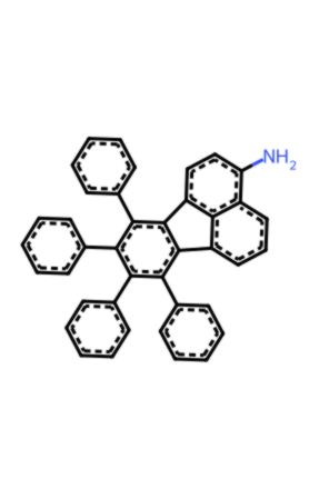 Nc1ccc2c3c(cccc13)-c1c(-c3ccccc3)c(-c3ccccc3)c(-c3ccccc3)c(-c3ccccc3)c1-2